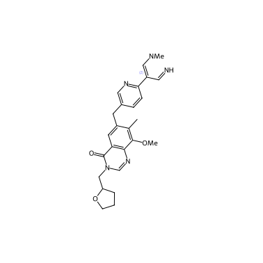 CN/C=C(\C=N)c1ccc(Cc2cc3c(=O)n(CC4CCCO4)cnc3c(OC)c2C)cn1